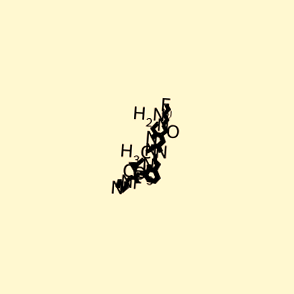 CC(C(F)Oc1cccc2cc(-c3nc4cc5c(nc4n3C)CCN(C[C@H](N)CF)C5=O)n(CC3CC3)c12)n1ccnc1